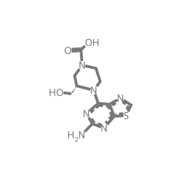 Nc1nc(N2CCN(C(=O)O)C[C@H]2CO)c2ncsc2n1